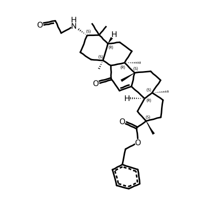 CC1(C)[C@@H](NCC=O)CC[C@]2(C)C3C(=O)C=C4[C@@H]5C[C@@](C)(C(=O)OCc6ccccc6)CC[C@]5(C)CC[C@@]4(C)[C@]3(C)CC[C@@H]12